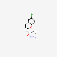 CC(ON)(C(=O)O)C1CCc2cc(Br)ccc2O1